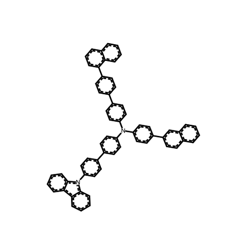 c1ccc2cc(-c3ccc(N(c4ccc(-c5ccc(-c6cccc7ccccc67)cc5)cc4)c4ccc(-c5ccc(-n6c7ccccc7c7ccccc76)cc5)cc4)cc3)ccc2c1